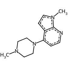 CN1CCN(c2ccnc3c2ccn3C)CC1